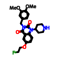 COc1ccc(Cn2c(=O)c3cc(OCCF)ccc3n(C3CCNCC3)c2=O)cc1OC